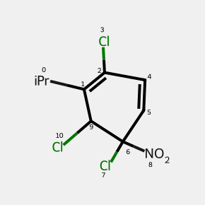 CC(C)C1=C(Cl)C=CC(Cl)([N+](=O)[O-])C1Cl